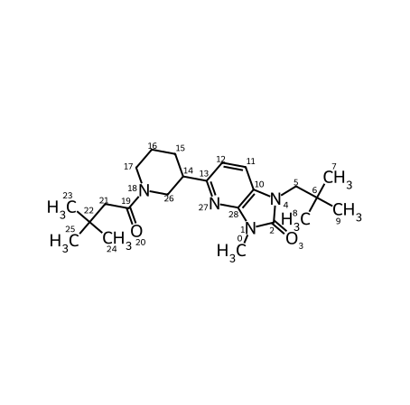 Cn1c(=O)n(CC(C)(C)C)c2ccc(C3CCCN(C(=O)CC(C)(C)C)C3)nc21